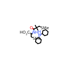 C1CCC(NC2CCCCC2)CC1.CSC[C@H](NC(=O)C(C)(C)CSC)C(=O)O